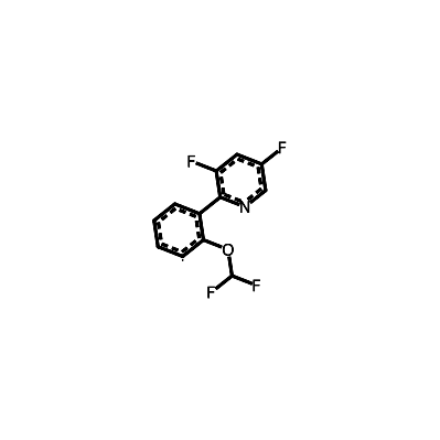 Fc1cnc(-c2ccc[c]c2OC(F)F)c(F)c1